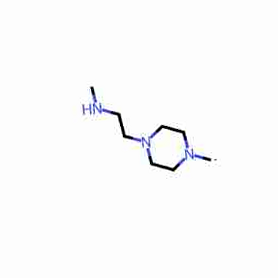 [CH2]N1CCN(CCNC)CC1